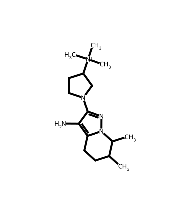 CC1CCc2c(N)c(N3CCC([N+](C)(C)C)C3)nn2C1C